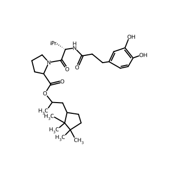 CC(CC1CCC(C)(C)C1(C)C)OC(=O)C1CCCN1C(=O)[C@@H](NC(=O)CCc1ccc(O)c(O)c1)C(C)C